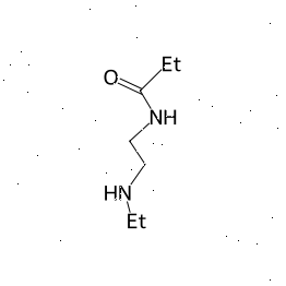 CCNCCNC(=O)CC